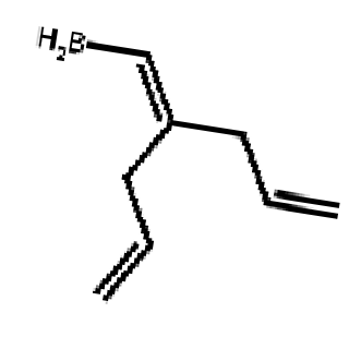 BC=C(CC=C)CC=C